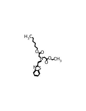 CCCCCCOC(=O)CN(C=Cc1nc2ccccc2s1)CC(=O)OCC